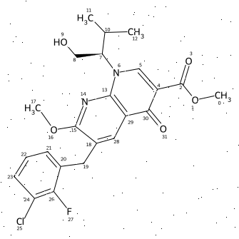 COC(=O)c1cn([C@@H](CO)C(C)C)c2nc(OC)c(Cc3cccc(Cl)c3F)cc2c1=O